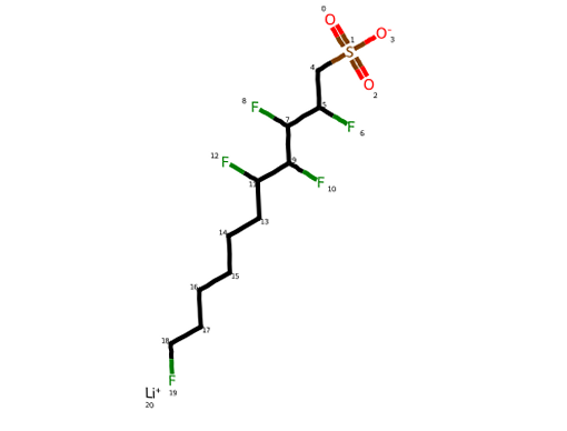 O=S(=O)([O-])CC(F)C(F)C(F)C(F)CCCCCCF.[Li+]